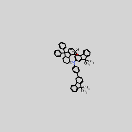 CC1(C)C2=CC=C(c3ccc(N(c4ccc5c(c4)C(C)(C)c4ccccc4-5)[C@@H]4CCCC5C4C4=C(C=C[C@@H]6C=C46)C5(c4ccccc4)c4ccccc4)cc3)CC2c2ccccc21